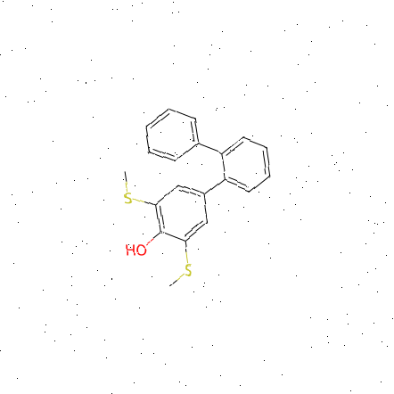 CSc1cc(-c2ccccc2-c2ccccc2)cc(SC)c1O